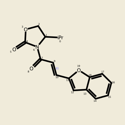 CC(C)C1COC(=O)N1C(=O)/C=C/c1cc2ccccc2o1